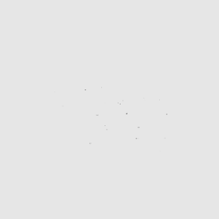 COc1cc2nc(-c3cccc4ccccc34)oc(=O)c2cc1OC